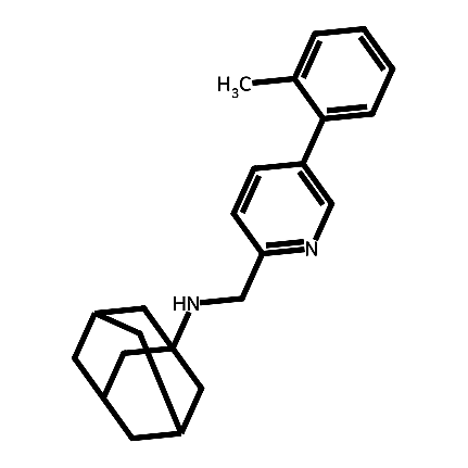 Cc1ccccc1-c1ccc(CNC23CC4CC(CC(C4)C2)C3)nc1